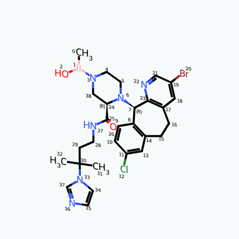 CB(O)N1CCN([C@@H]2c3ccc(Cl)cc3CCc3cc(Br)cnc32)[C@@H](C(=O)NCCC(C)(C)n2ccnc2)C1